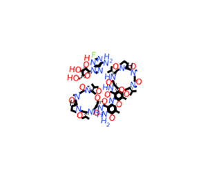 Cc1c2oc3c(C)ccc(C(=O)N[C@@H]4C(=O)N[C@H](C(C)C)C(=O)N5CCC[C@H]5C(=O)N(C)CC(=O)N(C)[C@@H](C(C)C)C(=O)O[C@@H]4C)c3nc-2c(C(=O)N[C@@H]2C(=O)N[C@H](C(C)C)C(=O)N3CCC[C@H]3C(=O)N(C)CC(=O)N(C)[C@@H](C(C)C)C(=O)O[C@@H]2C)c(N)c1=O.Nc1nc(F)nc2c1ncn2[C@@H]1O[C@H](CO)[C@@H](O)[C@@H]1O